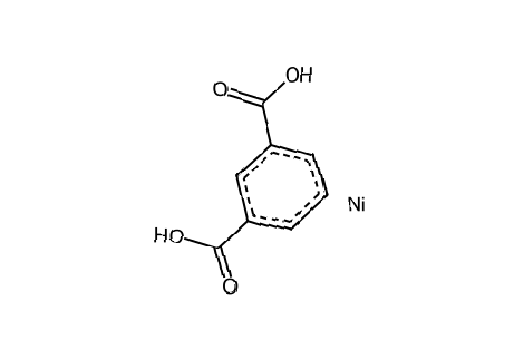 O=C(O)c1cccc(C(=O)O)c1.[Ni]